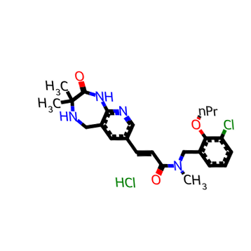 CCCOc1c(Cl)cccc1CN(C)C(=O)/C=C/c1cnc2c(c1)CNC(C)(C)C(=O)N2.Cl